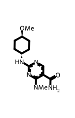 CNc1nc(N[C@H]2CC[C@H](OC)CC2)ncc1C(N)=O